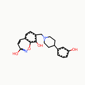 OC1=NOc2c(ccc(CN3CCC(c4cccc(O)c4)CC3)c2O)C=C1